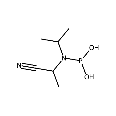 CC(C)N(C(C)C#N)P(O)O